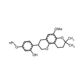 CCCOc1ccc(C2COc3c(cc(OC)c4c3CCC(C)(C)O4)C2)c(O)c1